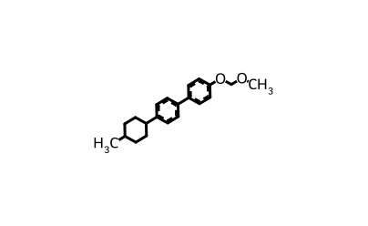 COCOc1ccc(-c2ccc(C3CCC(C)CC3)cc2)cc1